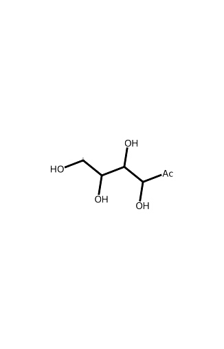 CC(=O)C(O)C(O)C(O)[CH]O